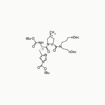 CCCCCCCCCCCCCN(CCCCCCCCCCCC)C(=O)[C@@H]1C[C@H](C)CN1C(=O)[C@H](Cc1cn(C(=O)OC(C)(C)C)cn1)NC(=O)OC(C)(C)C